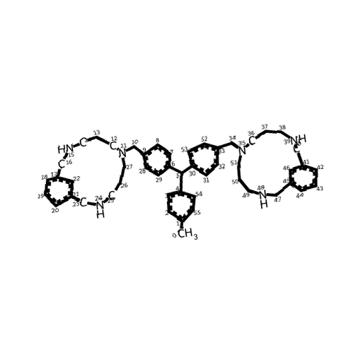 Cc1ccc(C(c2ccc(CN3CCCNCc4cccc(c4)CNCCC3)cc2)c2ccc(CN3CCCNCc4cccc(c4)CNCCC3)cc2)cc1